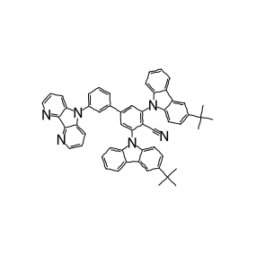 CC(C)(C)c1ccc2c(c1)c1ccccc1n2-c1cc(-c2cccc(-n3c4cccnc4c4ncccc43)c2)cc(-n2c3ccccc3c3cc(C(C)(C)C)ccc32)c1C#N